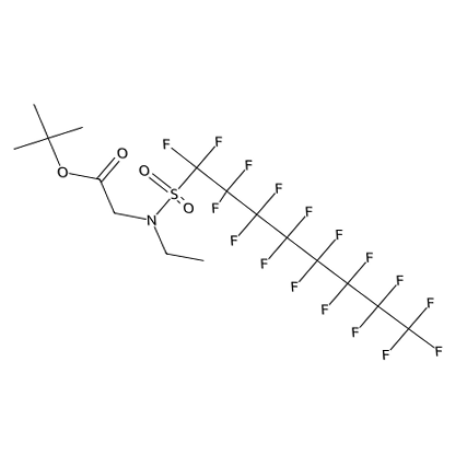 CCN(CC(=O)OC(C)(C)C)S(=O)(=O)C(F)(F)C(F)(F)C(F)(F)C(F)(F)C(F)(F)C(F)(F)C(F)(F)C(F)(F)F